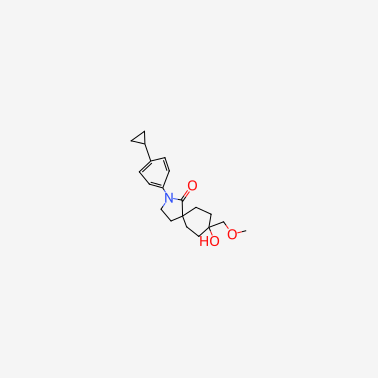 COCC1(O)CCC2(CCN(c3ccc(C4CC4)cc3)C2=O)CC1